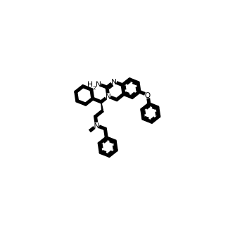 CN(CC[C@@H](C1CCCCC1)N1Cc2cc(Oc3ccccc3)ccc2N=C1N)Cc1ccccc1